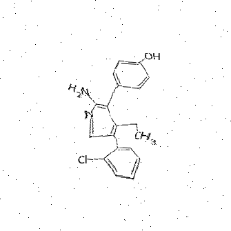 CCc1c(-c2ccccc2Cl)cnc(N)c1-c1ccc(O)cc1